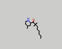 CCCCCCC(C)(C)C(=O)C1CC(C)CCN1